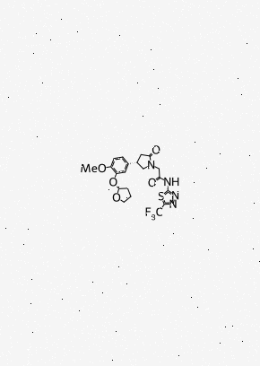 COc1ccc([C@@H]2CC(=O)N(CC(=O)Nc3nnc(C(F)(F)F)s3)C2)cc1OC1CCCO1